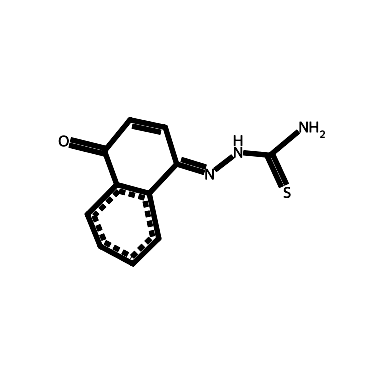 NC(=S)NN=C1C=CC(=O)c2ccccc21